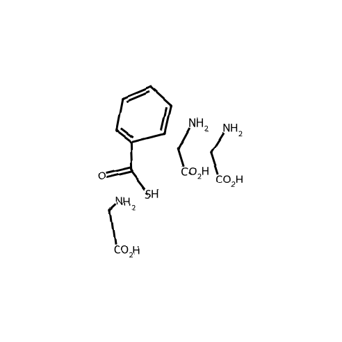 NCC(=O)O.NCC(=O)O.NCC(=O)O.O=C(S)c1ccccc1